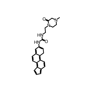 CN1CCN(CCNC(=O)NC2=CCc3c(ccc4c5c(ccc34)=CC=C5)=C2)C(=O)C1